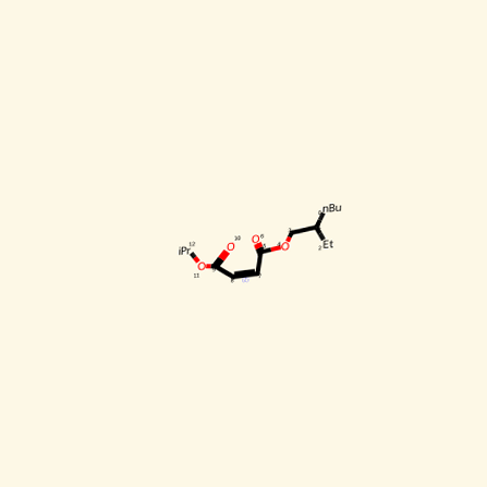 CCCCC(CC)COC(=O)/C=C\C(=O)OC(C)C